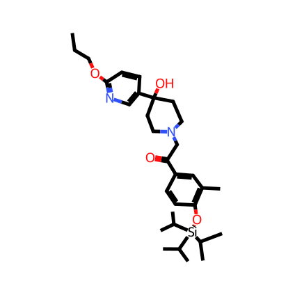 CCCOc1ccc(C2(O)CCN(CC(=O)c3ccc(O[Si](C(C)C)(C(C)C)C(C)C)c(C)c3)CC2)cn1